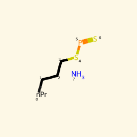 CCCCCCSP=S.N